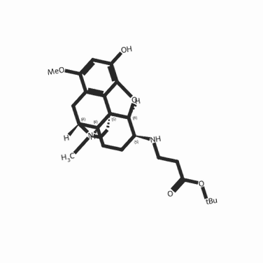 COc1cc(O)c2c3c1C[C@@H]1[C@@H]4CC[C@H](NCCC(=O)OC(C)(C)C)[C@H](O2)[C@]34CCN1C